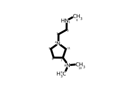 CNCCN1CCC(N(C)C)C1